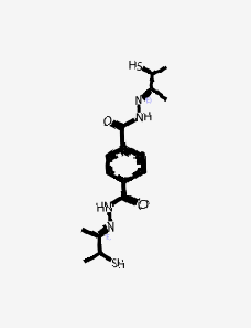 C/C(=N\NC(=O)c1ccc(C(=O)N/N=C(\C)C(C)S)cc1)C(C)S